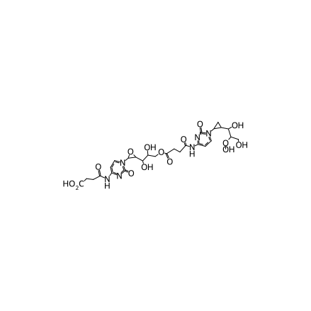 O=C(O)CCC(=O)Nc1ccn(C2OC2C(O)C(O)COC(=O)CCC(=O)Nc2ccn(C3CC3C(O)C(CO)OO)c(=O)n2)c(=O)n1